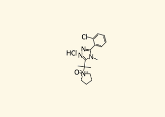 Cl.Cn1c(-c2ccccc2Cl)nnc1C(C)(C)[N+]1([O-])CCCC1